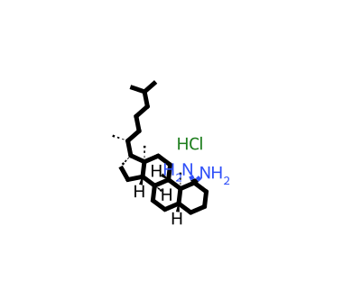 CC(C)CCC[C@@H](C)[C@H]1CC[C@H]2[C@@H]3CC[C@H]4CCCC(N)(N)[C@]4(C)[C@H]3CC[C@]12C.Cl